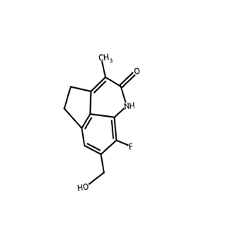 Cc1c2c3c(cc(CO)c(F)c3[nH]c1=O)CC2